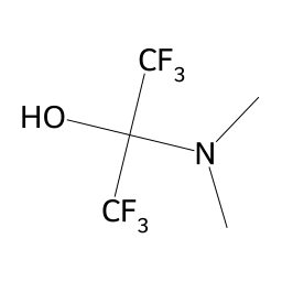 CN(C)C(O)(C(F)(F)F)C(F)(F)F